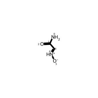 NC(=O)C=[NH+][O-]